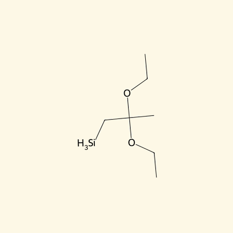 CCOC(C)(C[SiH3])OCC